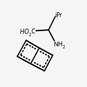 CC(C)C(N)C(=O)O.c1cc2ccc1-2